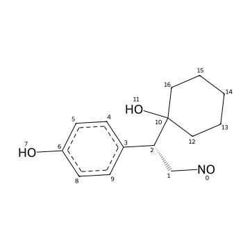 O=NC[C@H](c1ccc(O)cc1)C1(O)CCCCC1